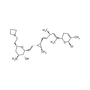 CC[C@H]1O[C@@H](/C(C)=C/[C@H](C)/C=C/[C@H]2[C@@H](C)[C@@H]2/C=C/[C@@H]2O[C@H](CCN3CCC3)C[C@H](N)[C@H]2O)CC=C1C